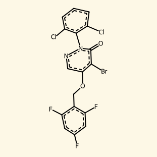 O=c1c(Br)c(OCc2c(F)cc(F)cc2F)cnn1-c1c(Cl)cccc1Cl